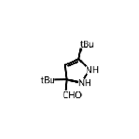 CC(C)(C)C1=CC(C=O)(C(C)(C)C)NN1